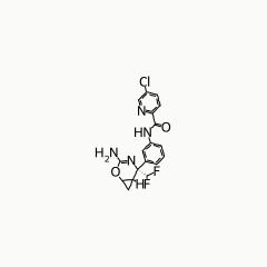 NC1=N[C@](c2cccc(NC(=O)c3ccc(Cl)cn3)c2)(C(F)F)[C@@H]2CC2O1